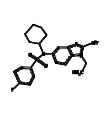 CCCc1nc2cc(N(C3CCCCC3)S(=O)(=O)c3ccc(F)cc3)ccc2n1CC(=O)O